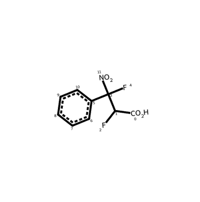 O=C(O)C(F)C(F)(c1ccccc1)[N+](=O)[O-]